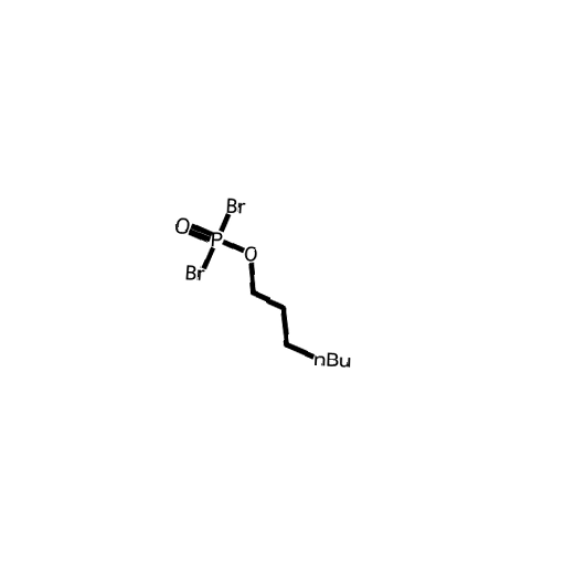 CCCCCCCOP(=O)(Br)Br